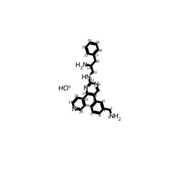 Cl.NCc1cccc(-c2cnc(NCC(N)Cc3ccccc3)nc2-c2ccncc2)c1